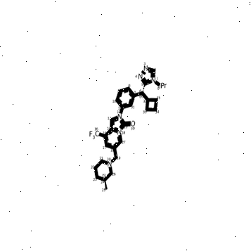 CC(C)n1cnnc1[C@@H](c1cccc(-n2cc3c(C(F)(F)F)cc(CN4CCC[C@H](C)C4)cn3c2=O)c1)C1CCC1